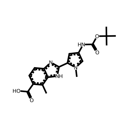 Cc1c(C(=O)O)ccc2nc(-c3cc(NC(=O)OC(C)(C)C)cn3C)[nH]c12